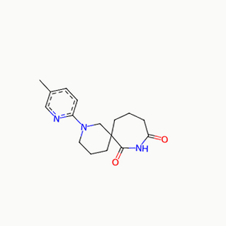 Cc1ccc(N2CCCC3(CCCC(=O)NC3=O)C2)nc1